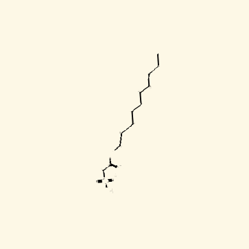 CCCCCCCCCCOC(=O)CS(=O)(=O)O